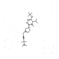 CC(C)C(C(=O)OC(C)(C)C)N(C)C(=O)[C@H]1CCN(CC#CC(C)(C)N(C)C)C1